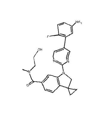 CN(CCO)C(=O)c1ccc2c(c1)N(c1ncc(-c3cc(N)ccc3F)cn1)CC21CC1